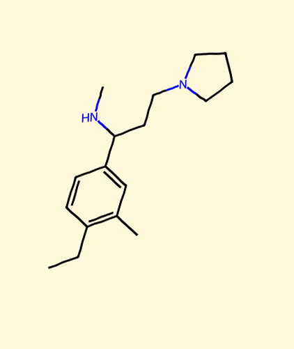 CCc1ccc(C(CCN2CCCC2)NC)cc1C